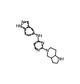 c1cc(Nc2ccc3[nH]ncc3c2)nc(N2CCC3NCCC3C2)n1